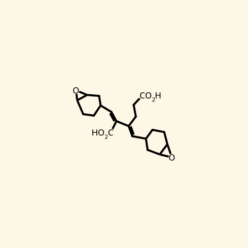 O=C(O)CCC(=C\C1CCC2OC2C1)/C(=C/C1CCC2OC2C1)C(=O)O